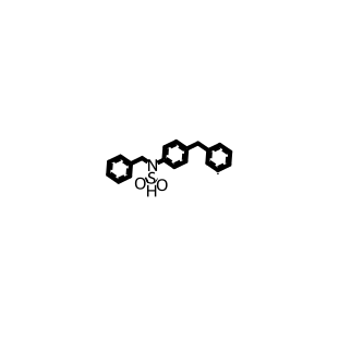 O=[SH](=O)N(Cc1ccccc1)c1ccc(Cc2c[c]ccc2)cc1